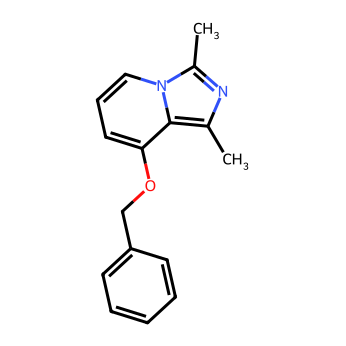 Cc1nc(C)n2cccc(OCc3ccccc3)c12